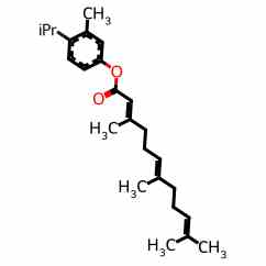 CC(C)=CCC/C(C)=C/CC/C(C)=C/C(=O)Oc1ccc(C(C)C)c(C)c1